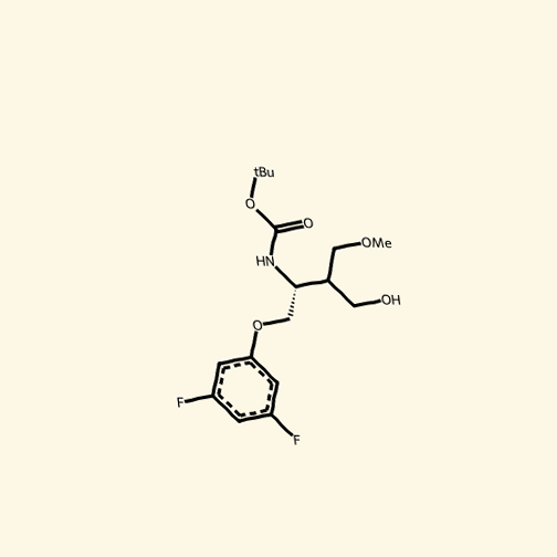 COCC(CO)[C@H](COc1cc(F)cc(F)c1)NC(=O)OC(C)(C)C